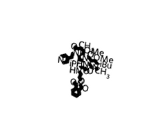 CC[C@H](C)C([C@@H](CC(=O)N1CCC[C@H]1[C@H](OC)[C@@H](C)C(=O)NCCc1ccncc1)OC)N(C)C(=O)CNC(=O)[C@@H](NCCON1C(=O)c2ccccc2C1=O)C(C)C